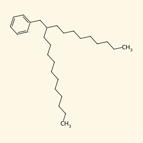 CCCCCCCCCCCC(CCCCCCCCC)Cc1[c]cccc1